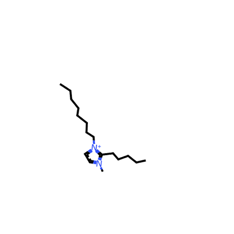 CCCCCCCC[n+]1ccn(C)c1CCCCC